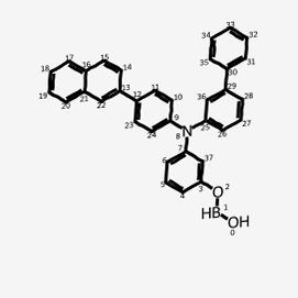 OBOc1cccc(N(c2ccc(-c3ccc4ccccc4c3)cc2)c2cccc(-c3ccccc3)c2)c1